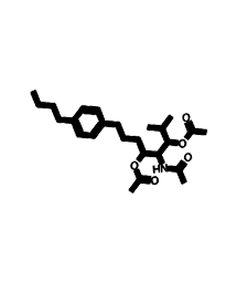 CCCCc1ccc(CCCC(OC(C)=O)C(NC(C)=O)C(OC(C)=O)C(C)C)cc1